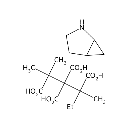 C1CC2CC2N1.CCC(C)(C(=O)O)C(C(=O)O)(C(=O)O)C(C)(C)C(=O)O